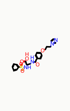 O=C(NCC(NS(=O)(=O)c1ccccc1)C(=O)O)c1ccc(OCCCn2ccnc2)cc1